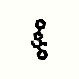 O=C(N(CF)c1ccccc1)n1ccc(-c2ccccc2)n1